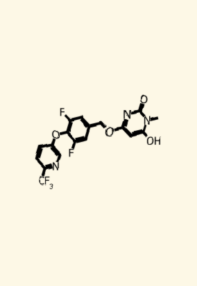 Cn1c(O)cc(OCc2cc(F)c(Oc3ccc(C(F)(F)F)nc3)c(F)c2)nc1=O